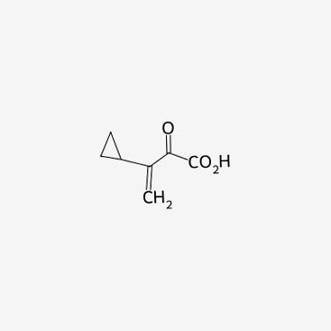 C=C(C(=O)C(=O)O)C1CC1